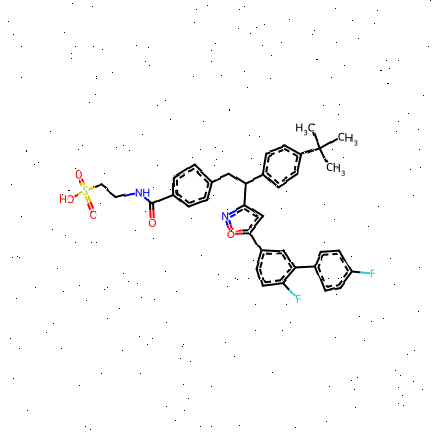 CC(C)(C)c1ccc(C(Cc2ccc(C(=O)NCCS(=O)(=O)O)cc2)c2cc(-c3ccc(F)c(-c4ccc(F)cc4)c3)on2)cc1